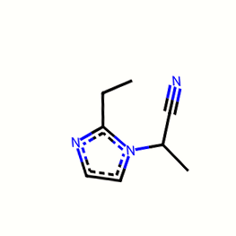 CCc1nccn1C(C)C#N